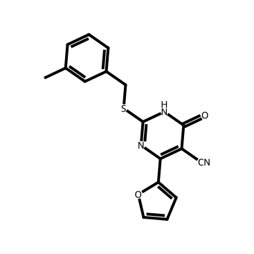 Cc1cccc(CSc2nc(-c3ccco3)c(C#N)c(=O)[nH]2)c1